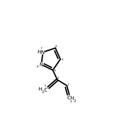 C=CC(=C)c1cc[nH]n1